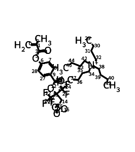 C=C(C)C(=O)Oc1ccc(C(=O)OC(CS(=O)(=O)[O-])(C(F)(F)F)C(F)(F)F)cc1.CCCC[N+](CCCC)(CCCC)CCCC